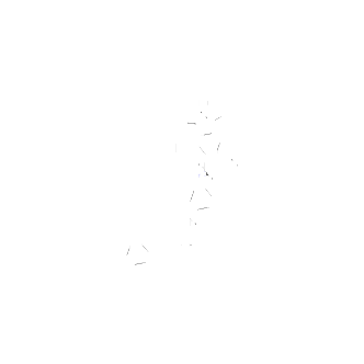 CCN1C(=O)c2cc(C#N)c(/N=N/c3ccc4c(c3)CCCN4CC(O)COc3ccccc3)c(Br)c2C1=O